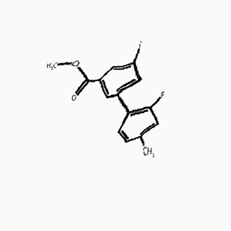 COC(=O)c1cc(I)cc(-c2ccc(C)cc2F)c1